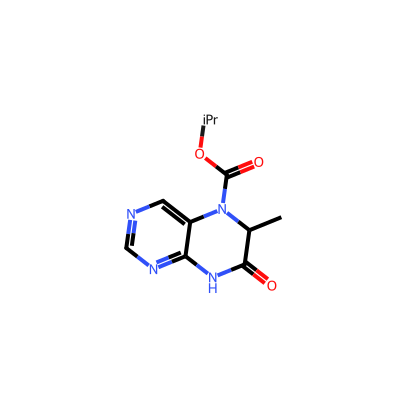 CC(C)OC(=O)N1c2cncnc2NC(=O)C1C